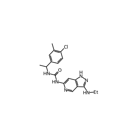 CCNc1n[nH]c2cc(NC(=O)NC(C)c3ccc(Cl)c(C)c3)ncc12